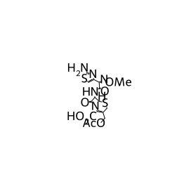 CO/N=C(\C(=O)N[C@H]1C(=O)N2C(C(=O)O)=C(COC(C)=O)CS[C@H]12)c1csc(N)n1